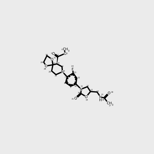 COC(=O)[C@H]1CN(c2ccc(N3CC(CNC(C)=O)OC3=O)cc2F)CCC12OCCO2